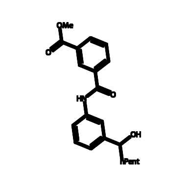 CCCCCC(O)c1cccc(NC(=O)c2cccc(C(=O)OC)c2)c1